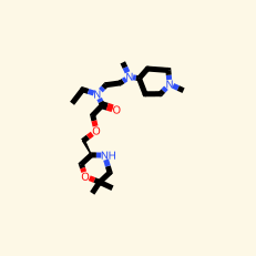 CCN(CCN(C)C1CCN(C)CC1)C(=O)COC[C@@H]1COC(C)(C)CN1